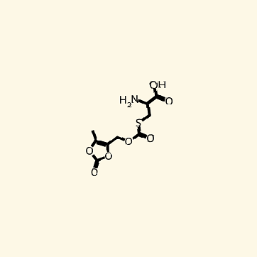 Cc1oc(=O)oc1COC(=O)SCC(N)C(=O)O